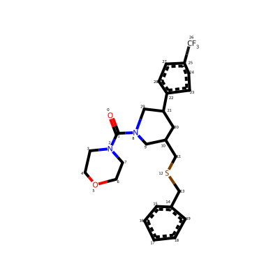 O=C(N1CCOCC1)N1CC(CSCc2ccccc2)CC(c2ccc(C(F)(F)F)cc2)C1